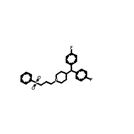 O=S(=O)(CCCN1CCC(C(c2ccc(F)cc2)c2ccc(F)cc2)CC1)c1ccccc1